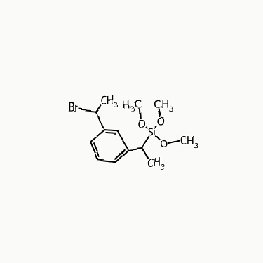 CO[Si](OC)(OC)C(C)c1cccc(C(C)Br)c1